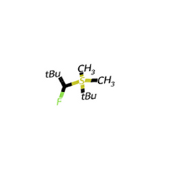 CC(C)(C)C(F)S(C)(C)C(C)(C)C